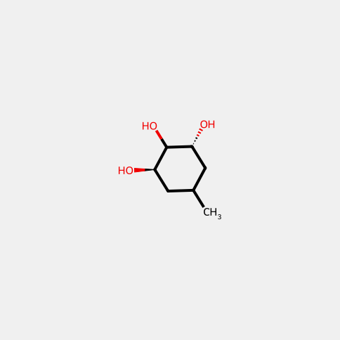 CC1C[C@@H](O)C(O)[C@H](O)C1